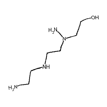 NCCNCCN(N)CCO